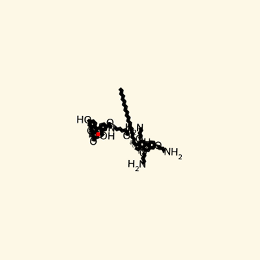 CCCCCCCCCCCCCCCCN(CCC[C@@H](C)[C@H]1CC[C@H]2C3[C@H](OCCCN)CC4C[C@H](OCCCN)CC[C@]4(C)[C@H]3C[C@H](OCCCN)[C@]12C)C(=O)CCCCCNC(=O)c1ccc(-c2c3ccc(=O)cc-3oc3cc(O)ccc23)c(C(=O)O)c1